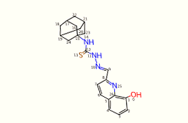 Oc1cccc2ccc(/C=N/NC(=S)NC34CC5CC(CC(C5)C3)C4)nc12